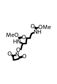 COC(=O)NCCCCC(CON1C(=O)CCC1=O)NC(=O)OC